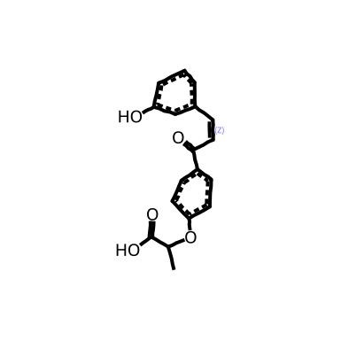 CC(Oc1ccc(C(=O)/C=C\c2cccc(O)c2)cc1)C(=O)O